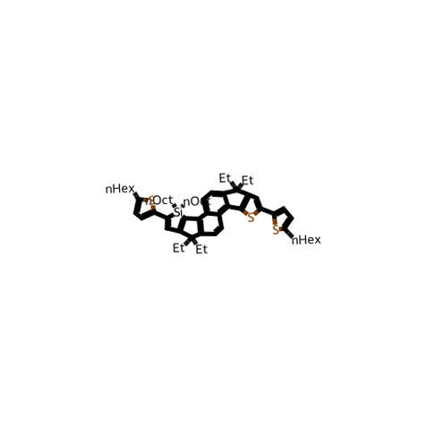 CCCCCCCC[Si]1(CCCCCCCC)C(c2ccc(CCCCCC)s2)=CC2=C1c1c(ccc3c4c(ccc13)C(CC)(CC)c1cc(-c3ccc(CCCCCC)s3)sc1-4)C2(CC)CC